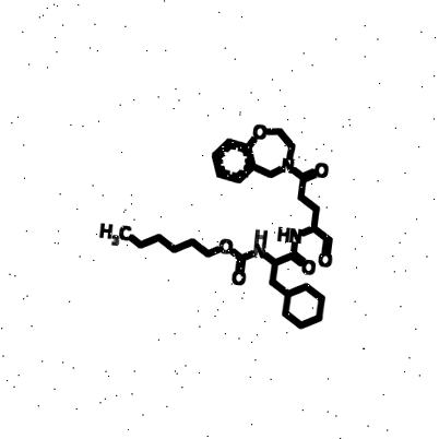 CCCCCCOC(=O)NC(CC1CCCCC1)C(=O)NC(C=O)CCC(=O)N1CCOc2ccccc2C1